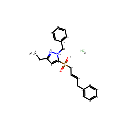 CNCc1cc(S(=O)(=O)CC=CCc2ccccc2)n(Cc2ccccc2)n1.Cl